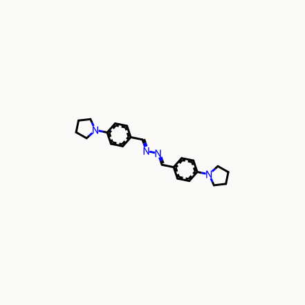 C(=N\N=C\c1ccc(N2CCCC2)cc1)/c1ccc(N2CCCC2)cc1